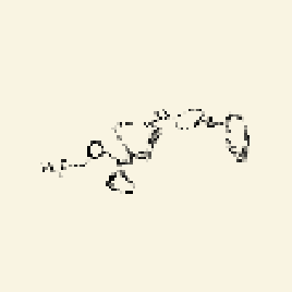 CCOC(=O)c1ccc(OC2CCN(c3ccccc3)CC2)cc1